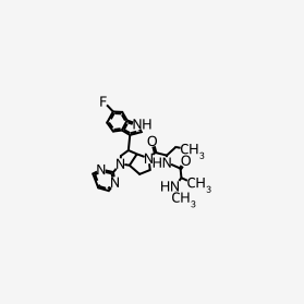 CCC(NC(=O)C(C)NC)C(=O)N1CCC2C1C(c1c[nH]c3cc(F)ccc13)CN2c1ncccn1